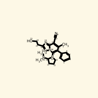 Cc1c(-c2ccccc2)c(N2CCCC2N(C)C)n2nc(CCO)nc2c1C#N